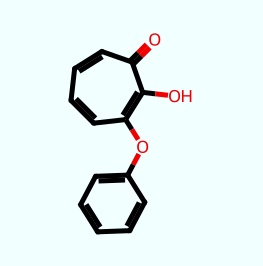 O=c1ccccc(Oc2ccccc2)c1O